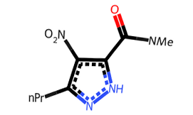 CCCc1n[nH]c(C(=O)NC)c1[N+](=O)[O-]